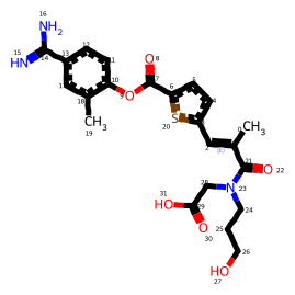 C/C(=C\c1ccc(C(=O)Oc2ccc(C(=N)N)cc2C)s1)C(=O)N(CCCO)CC(=O)O